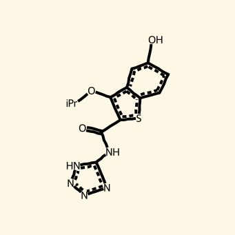 CC(C)Oc1c(C(=O)Nc2nnn[nH]2)sc2ccc(O)cc12